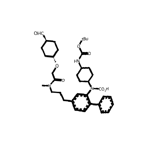 CN(CCCc1ccc(-c2ccccc2)c(N(C(=O)O)C2CCC(NC(=O)OC(C)(C)C)CC2)c1)C(=O)CO[C@H]1CC[C@H](C=O)CC1